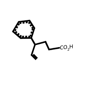 C=CC(CCC(=O)O)c1ccccc1